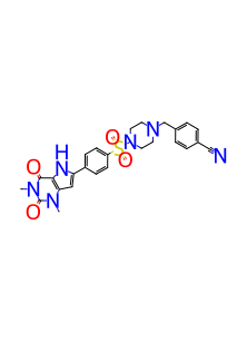 Cn1c(=O)c2[nH]c(-c3ccc(S(=O)(=O)N4CCN(Cc5ccc(C#N)cc5)CC4)cc3)cc2n(C)c1=O